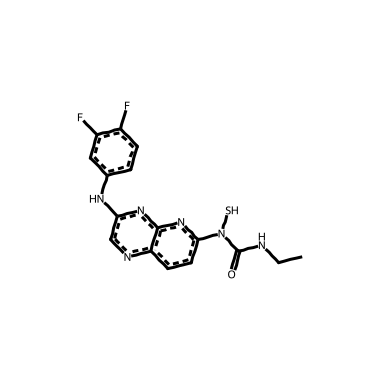 CCNC(=O)N(S)c1ccc2ncc(Nc3ccc(F)c(F)c3)nc2n1